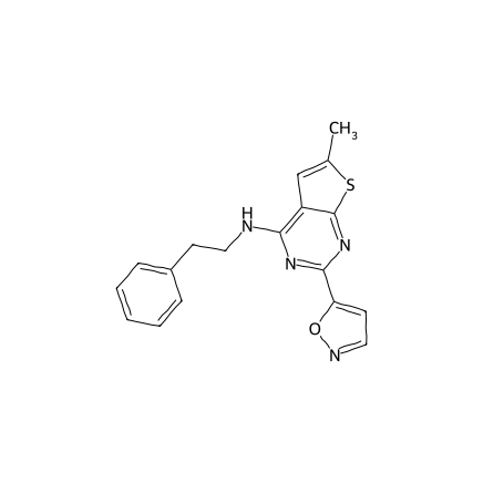 Cc1cc2c(NCCc3ccccc3)nc(-c3ccno3)nc2s1